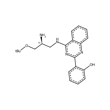 CC(C)(C)OC[C@@H](N)CNc1nc(-c2ccccc2O)nc2ccccc12